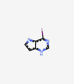 Ic1nc[nH]c2ccnc1-2